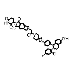 O=C1CCC(N2C(=O)c3cc4c(cc3C2=O)CN(CC(=O)N2CCC3(CC2)CN(c2ccc([C@@H]5c6ccc(O)cc6CC[C@@H]5c5ccc(F)cc5Cl)cc2)C3)C4)C(=O)N1